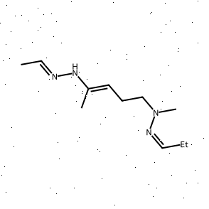 C/C=N/N/C(C)=C/CCN(C)/N=C\CC